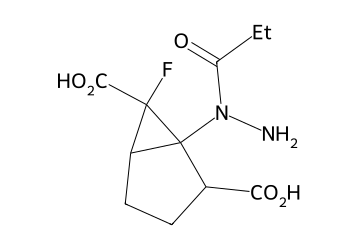 CCC(=O)N(N)C12C(C(=O)O)CCC1C2(F)C(=O)O